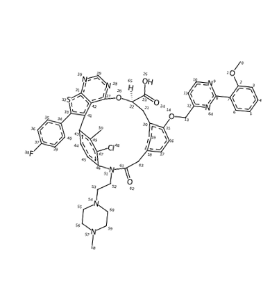 COc1ccccc1-c1nccc(COc2ccc3cc2C[C@H](C(=O)O)Oc2ncnc4sc(-c5ccc(F)cc5)c(c24)-c2ccc(c(Cl)c2C)N(CCN2CCN(C)CC2)C(=O)C3)n1